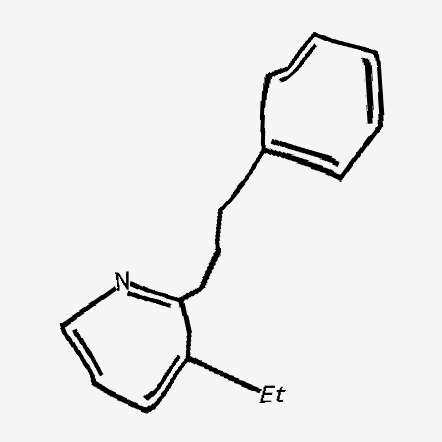 [CH2]Cc1cccnc1CCc1ccccc1